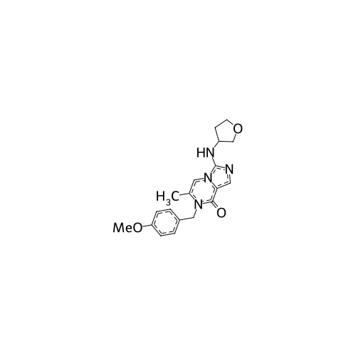 COc1ccc(Cn2c(C)cn3c(NC4CCOC4)ncc3c2=O)cc1